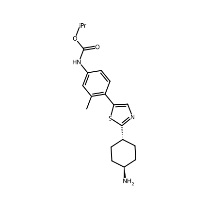 Cc1cc(NC(=O)OC(C)C)ccc1-c1cnc([C@H]2CC[C@H](N)CC2)s1